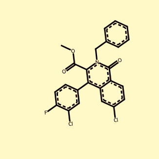 COC(=O)c1c(-c2ccc(F)c(Cl)c2)c2cc(Cl)ccc2c(=O)n1Cc1ccccc1